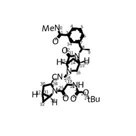 CNC(=O)c1cccc([C@@H](C)N2C(=O)[C@@H]3C[C@H]2CN3C[C@H](NC(=O)OC(C)(C)C)C(=O)N2[C@H](C#N)C[C@@H]3C[C@@H]32)c1